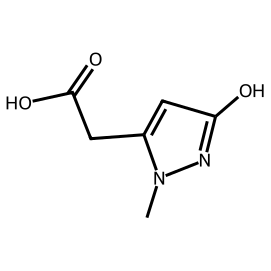 Cn1nc(O)cc1CC(=O)O